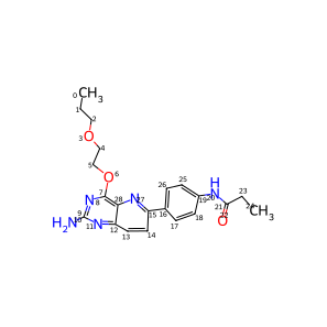 CCCOCCOc1nc(N)nc2ccc(-c3ccc(NC(=O)CC)cc3)nc12